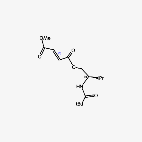 COC(=O)/C=C/C(=O)OC[C@H](NC(=O)C(C)(C)C)C(C)C